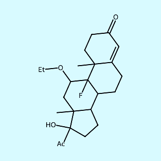 CCOC1CC2(C)C(CCC2(O)C(C)=O)C2CCC3=CC(=O)CCC3(C)C12F